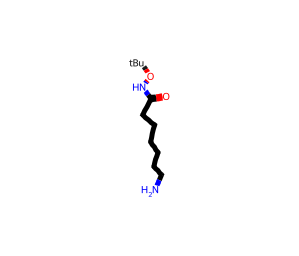 CC(C)(C)ONC(=O)CCCCCCN